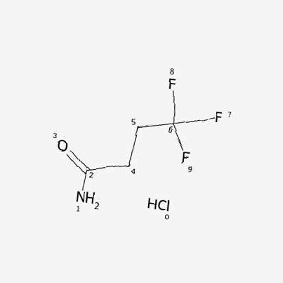 Cl.NC(=O)CCC(F)(F)F